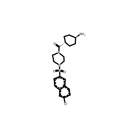 N[C@H]1CC[C@H](C(=O)N2CCN(S(=O)(=O)c3ccc4cc(Cl)ccc4c3)CC2)CC1